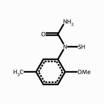 COc1ccc(C)cc1N(S)C(N)=O